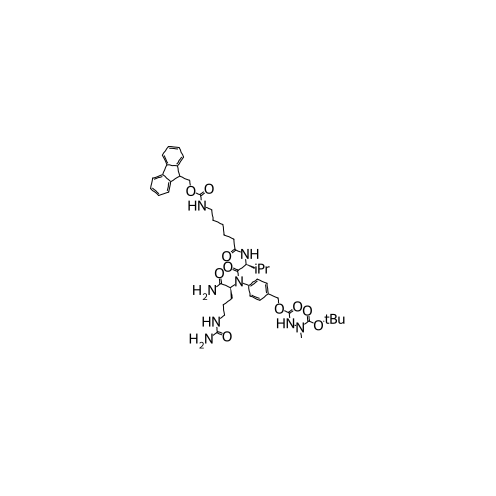 CC(C)[C@H](NC(=O)CCCCCNC(=O)OCC1c2ccccc2-c2ccccc21)C(=O)N(c1ccc(COC(=O)NN(C)C(=O)OC(C)(C)C)cc1)[C@@H](CCCNC(N)=O)C(N)=O